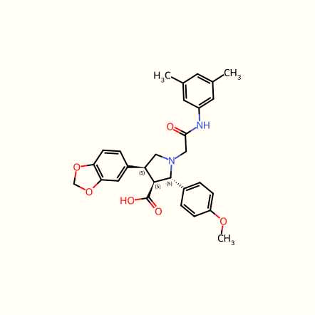 COc1ccc([C@@H]2[C@@H](C(=O)O)[C@@H](c3ccc4c(c3)OCO4)CN2CC(=O)Nc2cc(C)cc(C)c2)cc1